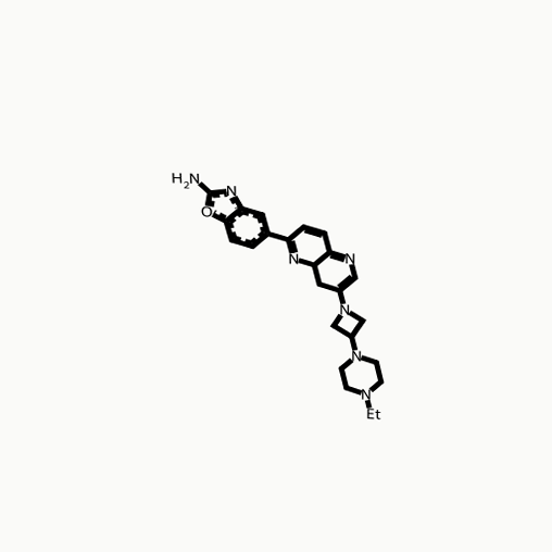 CCN1CCN(C2CN(C3=CN=C4C=CC(c5ccc6oc(N)nc6c5)=NC4C3)C2)CC1